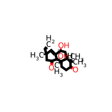 C=C[C@]1(C)C=C2[C@@H](O)C[C@H]3C(C)(C)C(=O)CC[C@]3(C)[C@]2(O)C(=O)C1